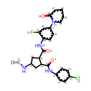 O=CNC1CC(C(=O)Nc2ccc(Cl)cc2)C(C(=O)Nc2ccc(-n3ccccc3=O)cc2F)C1